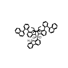 CCC(C)C1=Cc2c(-c3ccccc3-c3cccc4ccccc34)cccc2[CH]1[Hf]([Cl])([Cl])([c]1cccc2c1[SiH2]c1ccccc1-2)[CH]1C(C(C)CC)=Cc2c(-c3ccccc3-c3cccc4ccccc34)cccc21